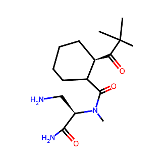 CN(C(=O)C1CCCC[C@H]1C(=O)C(C)(C)C)[C@H](CN)C(N)=O